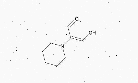 O=C/C(=C\O)N1CCCCC1